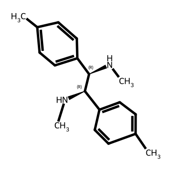 CN[C@H](c1ccc(C)cc1)[C@H](NC)c1ccc(C)cc1